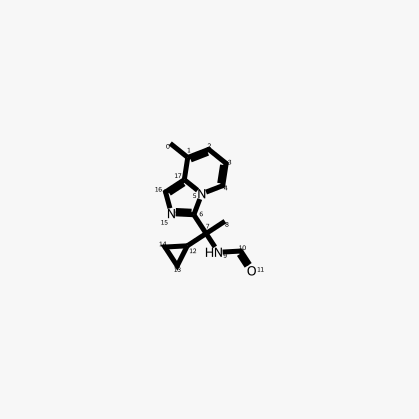 Cc1cccn2c(C(C)(NC=O)C3CC3)ncc12